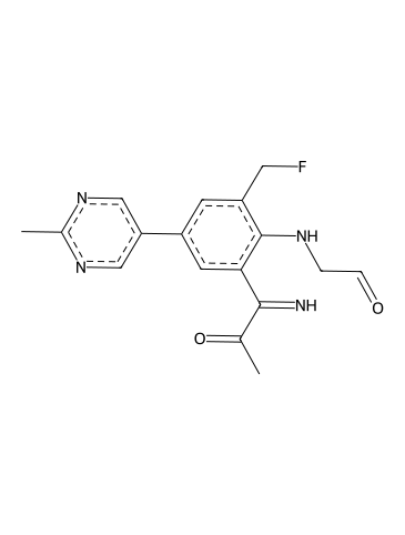 CC(=O)C(=N)c1cc(-c2cnc(C)nc2)cc(CF)c1NCC=O